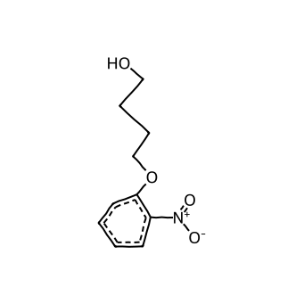 O=[N+]([O-])c1ccccc1OCCCCO